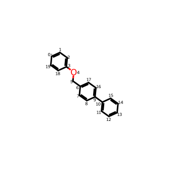 [c]1ccc(OCc2ccc(-c3ccccc3)cc2)cc1